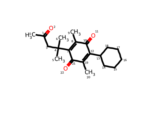 CC(=O)CC(C)(C)C1=C(C)C(=O)C(C2CCCCC2)=C(C)C1=O